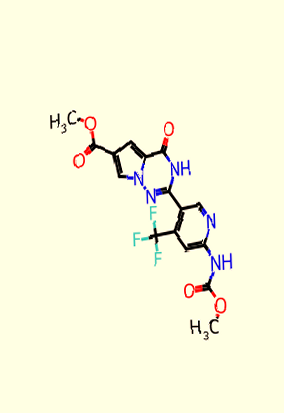 COC(=O)Nc1cc(C(F)(F)F)c(-c2nn3cc(C(=O)OC)cc3c(=O)[nH]2)cn1